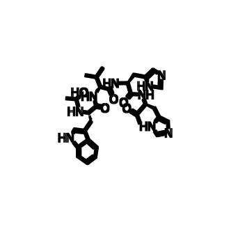 CC(=O)[C@H](Cc1cnc[nH]1)NC(=O)[C@H](Cc1cnc[nH]1)NC(=O)[C@@H](NC(=O)[C@H](Cc1c[nH]c2ccccc12)NC(C)O)C(C)C